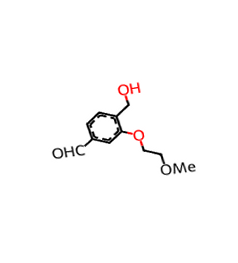 COCCOc1cc(C=O)ccc1CO